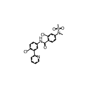 CN(c1ccc(C(=O)Nc2ccc(Cl)c(-c3ccccn3)c2)c(Cl)c1)S(C)(=O)=O